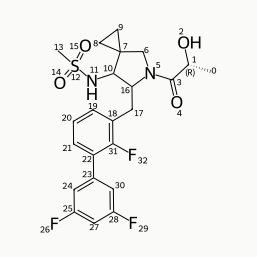 C[C@@H](O)C(=O)N1CC2(CC2)C(NS(C)(=O)=O)C1Cc1cccc(-c2cc(F)cc(F)c2)c1F